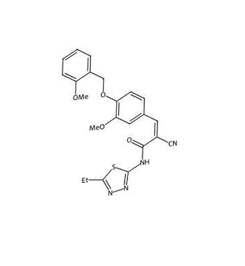 CCc1nnc(NC(=O)C(C#N)=Cc2ccc(OCc3ccccc3OC)c(OC)c2)s1